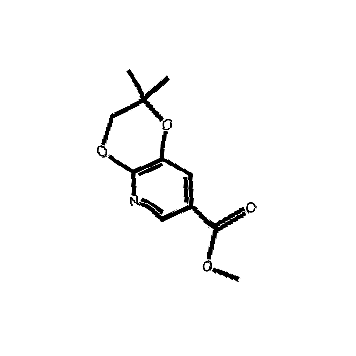 COC(=O)c1cnc2c(c1)OC(C)(C)CO2